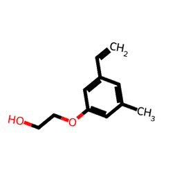 C=Cc1cc(C)cc(OCCO)c1